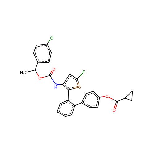 CC(OC(=O)Nc1cc(F)sc1-c1ccccc1-c1ccc(OC(=O)C2CC2)cc1)c1ccc(Cl)cc1